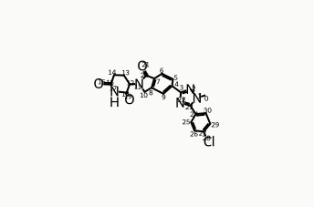 Cn1nc(-c2ccc3c(c2)CN(C2CCC(=O)NC2=O)C3=O)nc1-c1ccc(Cl)cc1